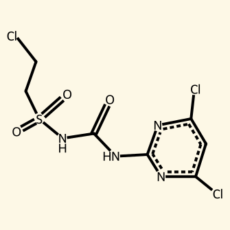 O=C(Nc1nc(Cl)cc(Cl)n1)NS(=O)(=O)CCCl